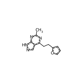 Cc1nc(CCc2ccco2)c2cn[nH]c2n1